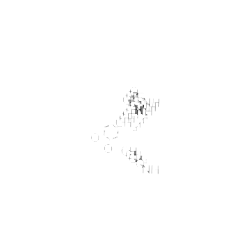 C.C.C.C.C.C.COc1ccccc1OC.N=C=O.N=C=O.N=C=O.N=C=O